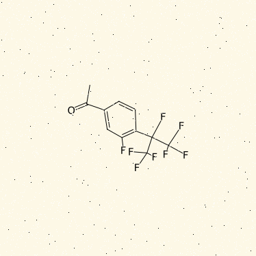 CC(=O)c1ccc(C(F)(C(F)(F)F)C(F)(F)F)c(F)c1